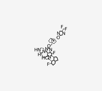 C#Cc1c(F)ccc2cccc(-c3nc4c5c(nc(OC[C@@]67CCCN6[C@H](COc6cnc(C(F)F)cn6)CC7)nc5c3F)N3CCNC[C@H]3CCC4)c12